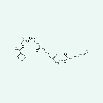 CC(COC(=O)CCCCC(=O)OC(C)COC(=O)CCCCC=O)OOC(C)COC(=O)c1ccccc1